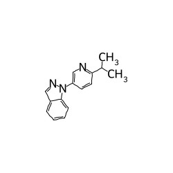 CC(C)c1ccc(-n2ncc3ccccc32)cn1